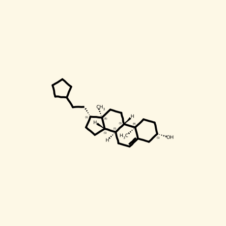 C[C@]12CC[C@H]3[C@@H](CC=C4C[C@@H](O)CC[C@@]43C)[C@@H]1CC[C@@H]2CCC1CCCC1